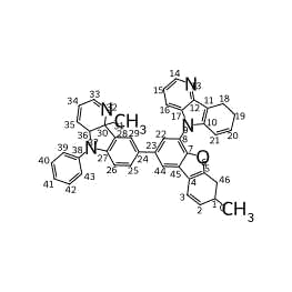 CC1C=Cc2c(oc3c(-n4c5c(c6ncccc64)CCC=C5)cc(-c4ccc5c(c4)C4(C)N=CC=CC4N5c4ccccc4)cc23)C1